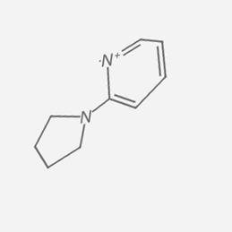 C1=CC=C(N2CCCC2)[N+]=C1